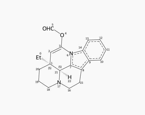 CC[C@@]12C=C(OC=O)n3c4c(c5ccccc53)CCN(CCC1)[C@H]42